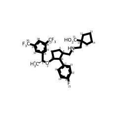 C[C@@H](OC1CCC(CNCC2(C(=O)O)CCCC2)C1c1ccc(F)cc1)c1cc(C(F)(F)F)cc(C(F)(F)F)c1